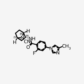 Cc1cn(-c2ccc(C(=O)N[C@@H]3C[C@@H]4CC[C@H]3N4C#N)c(F)c2)cn1